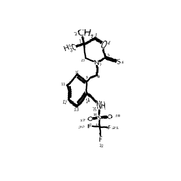 CC1(C)COC(=S)N(Cc2ccccc2NS(=O)(=O)C(F)(F)F)C1